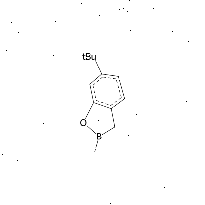 CB1Cc2ccc(C(C)(C)C)cc2O1